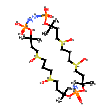 CC(C)(CC[S+]([O-])CCC[S+]([O-])CCC(C)(C)OP(N)(=O)OC(C)(C)CC[S+]([O-])CCC[S+]([O-])CCC(C)(C)OP(N)(=O)O)OP(N)(=O)O